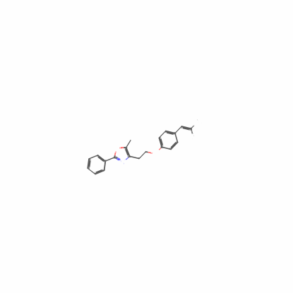 CC(=O)C(=Cc1ccc(OCCc2nc(-c3ccccc3)oc2C)cc1)C(C)=O